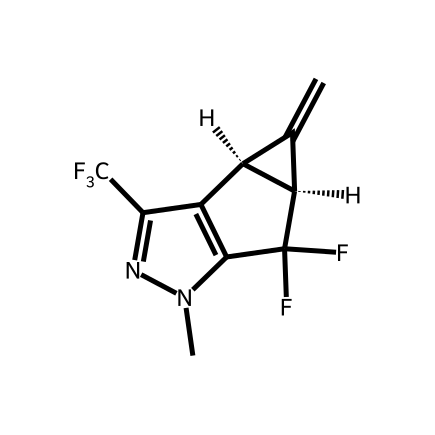 C=C1[C@@H]2c3c(C(F)(F)F)nn(C)c3C(F)(F)[C@H]12